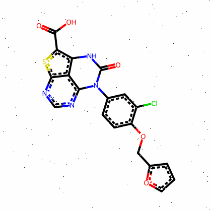 O=C(O)c1sc2ncnc3c2c1NC(=O)N3c1ccc(OCc2ccco2)c(Cl)c1